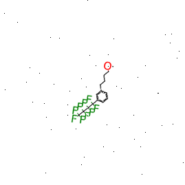 [O]CCCCc1cccc(C(F)(F)C(F)(F)C(F)(F)C(F)(F)F)c1